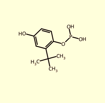 CC(C)(C)c1cc(O)ccc1OP(O)O